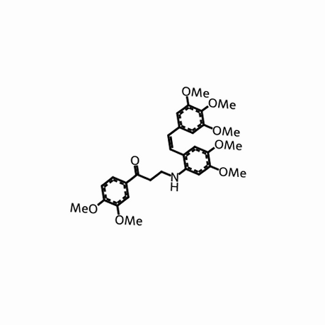 COc1ccc(C(=O)CCNc2cc(OC)c(OC)cc2/C=C\c2cc(OC)c(OC)c(OC)c2)cc1OC